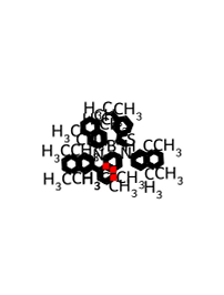 CC(C)(C)c1cc2c3c(c1)N(c1ccc4c(c1)C(C)(C)CCC4(C)C)c1sc4ccc(C(C)(C)C)cc4c1B3c1cc3c(cc1N2c1cc2c(cc1-c1c#cccc1)C(C)(C)CCC2(C)C)C(C)(C)CCC3(C)C